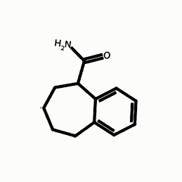 NC(=O)C1C[CH]CCc2ccccc21